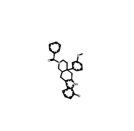 COc1cccc(C23CCN(C(=O)c4ccccc4)CC2Cc2c([nH]c4c(Br)cccc24)C3)c1